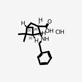 CC1(C)[C@H]2C[C@@H]1[C@H](NCc1ccccc1)[C@H](C(=O)O)C2.Cl